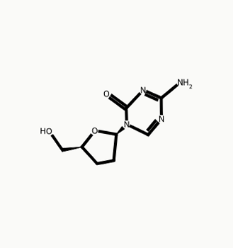 Nc1ncn([C@H]2CC[C@@H](CO)O2)c(=O)n1